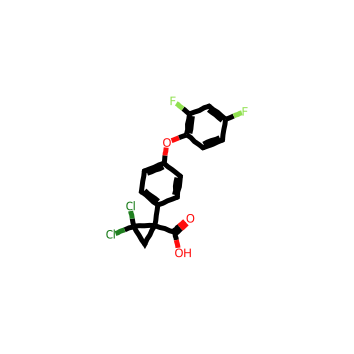 O=C(O)C1(c2ccc(Oc3ccc(F)cc3F)cc2)CC1(Cl)Cl